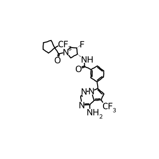 Nc1ncnn2c(-c3cccc(C(=O)N[C@@H]4CN(C(=O)C5(C(F)(F)F)CCCC5)C[C@@H]4F)c3)cc(C(F)(F)F)c12